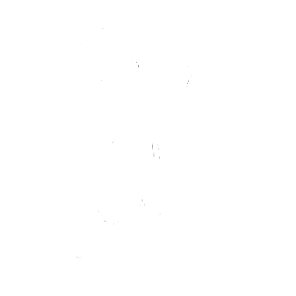 c1ccc2c(c1)B1c3c(cccc3-c3cccc4c3-c3ccccc3B3c5ccccc5-c5ccccc5N34)-c3ccccc3N1c1ccccc1-2